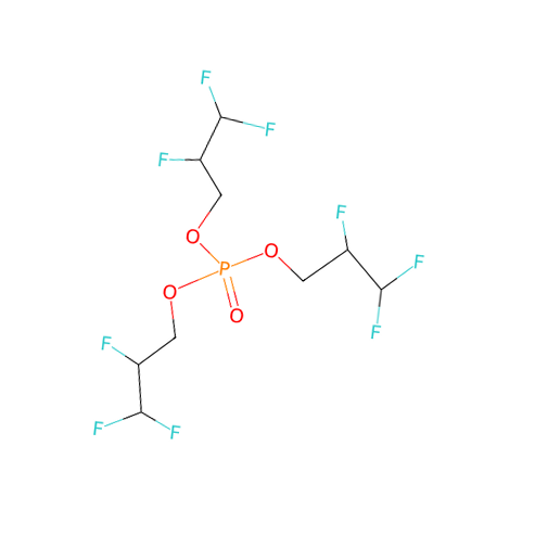 O=P(OCC(F)C(F)F)(OCC(F)C(F)F)OCC(F)C(F)F